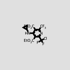 CCOC(=O)c1c(C(F)(F)F)nc(C(F)(F)Cl)c(C(=O)OCC)c1NC1CC1